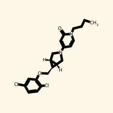 CCCCn1ccc(N2C[C@@H]3[C@@H](COc4cc(Cl)ccc4Cl)[C@@H]3C2)cc1=O